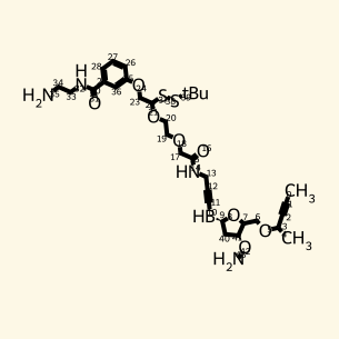 CC#CC(C)OCC1O[C@@H](BC#CCNC(=O)COCCOC(COc2cccc(C(=O)NCCN)c2)SSC(C)(C)C)C[C@H]1ON